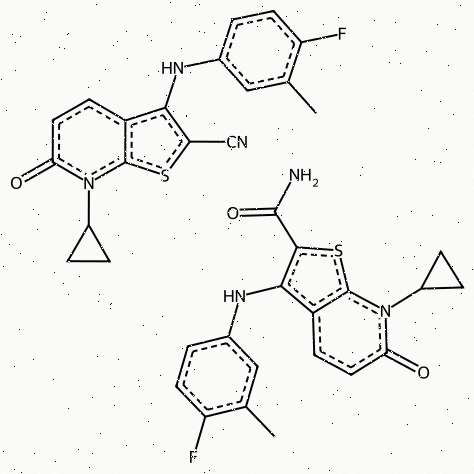 Cc1cc(Nc2c(C#N)sc3c2ccc(=O)n3C2CC2)ccc1F.Cc1cc(Nc2c(C(N)=O)sc3c2ccc(=O)n3C2CC2)ccc1F